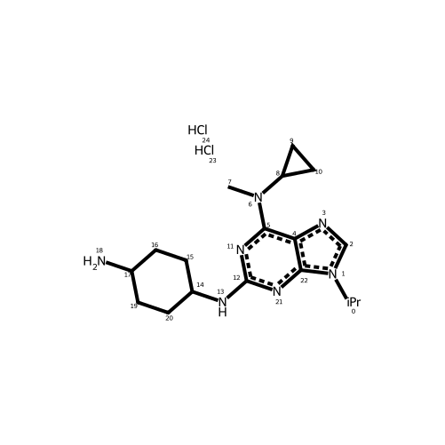 CC(C)n1cnc2c(N(C)C3CC3)nc(NC3CCC(N)CC3)nc21.Cl.Cl